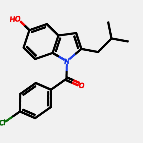 CC(C)Cc1cc2cc(O)ccc2n1C(=O)c1ccc(Cl)cc1